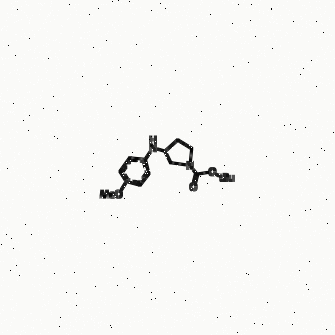 COc1ccc(NC2CCN(C(=O)OC(C)(C)C)C2)cc1